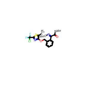 CNC(=O)/C(=N/OC)c1ccccc1COc1nc(C(F)(F)Cl)sc1C